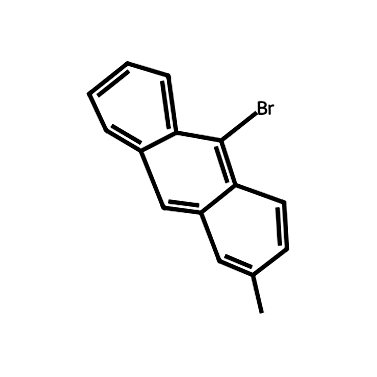 Cc1ccc2c(Br)c3ccccc3cc2c1